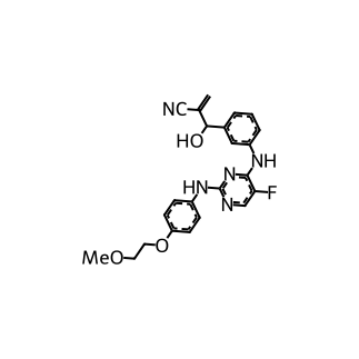 C=C(C#N)C(O)c1cccc(Nc2nc(Nc3ccc(OCCOC)cc3)ncc2F)c1